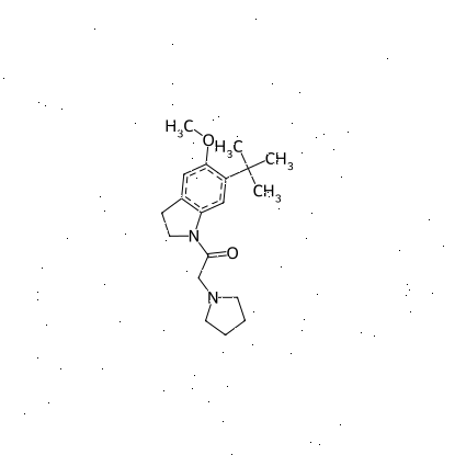 COc1cc2c(cc1C(C)(C)C)N(C(=O)CN1CCCC1)CC2